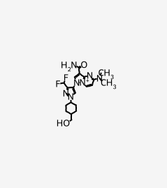 CN(C)c1cc[n+]2c(n1)c(C(N)=O)cn2-c1cn(C2CCC(CO)CC2)nc1C(F)F